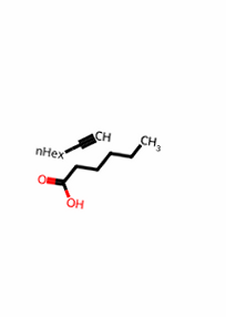 C#CCCCCCC.CCCCCC(=O)O